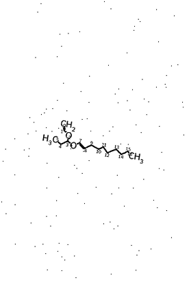 C=COC(CC)O/C=C/CCCCCCCC